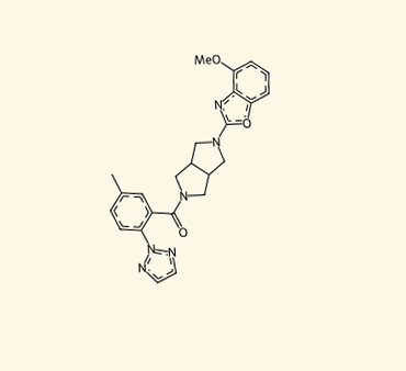 COc1cccc2oc(N3CC4CN(C(=O)c5cc(C)ccc5-n5nccn5)CC4C3)nc12